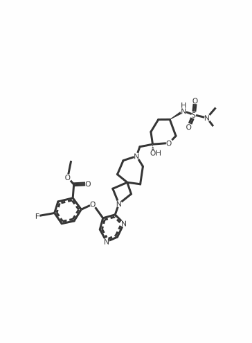 COC(=O)c1cc(F)ccc1Oc1cncnc1N1CC2(CCN(C[C@@]3(O)CC[C@@H](NS(=O)(=O)N(C)C)CO3)CC2)C1